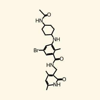 CC(=O)NC1CCC(Nc2cc(Br)cc(C(=O)NCc3c(C)cc(C)[nH]c3=O)c2C)CC1